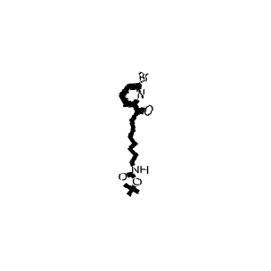 CC(C)(C)OC(=O)NCCCCCCCC(=O)c1cccc(Br)n1